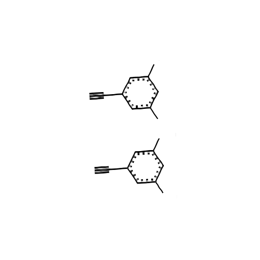 C#Cc1cc(C(=O)O)cc(C(=O)O)c1.C#Cc1cc(C(=O)O)cc(C(=O)O)c1